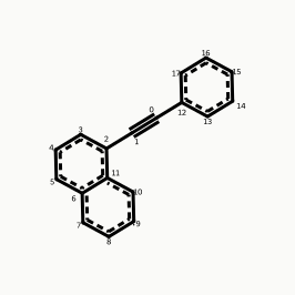 C(#Cc1cccc2cc[c]cc12)c1ccccc1